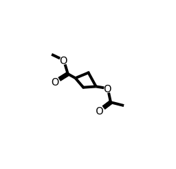 COC(=O)C1CC(OC(C)=O)C1